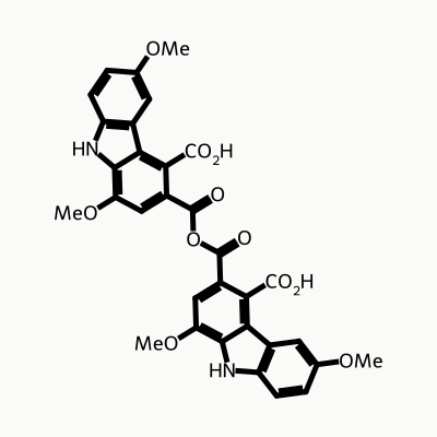 COc1ccc2[nH]c3c(OC)cc(C(=O)OC(=O)c4cc(OC)c5[nH]c6ccc(OC)cc6c5c4C(=O)O)c(C(=O)O)c3c2c1